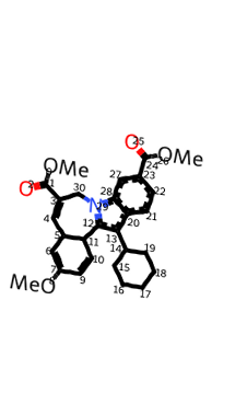 COC(=O)C1=CC2C=C(OC)C=CC2c2c(C3CCCCC3)c3ccc(C(=O)OC)cc3n2C1